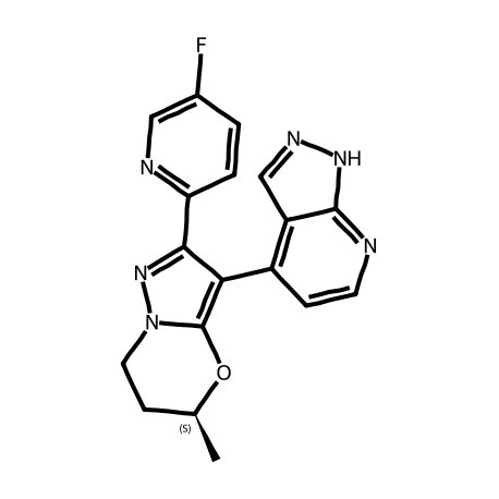 C[C@H]1CCn2nc(-c3ccc(F)cn3)c(-c3ccnc4[nH]ncc34)c2O1